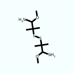 COC([SiH3])C(C)(C)SSC(C)(C)C([SiH3])OC